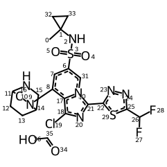 CC1(NS(=O)(=O)c2cc(N3CC4CCC3CN4)c3c(Cl)nc(-c4nnc(C(F)F)s4)n3c2)CC1.O=CO